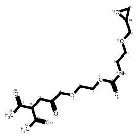 O=C(COCCOC(=O)NCCOCC1CO1)CC(C(=O)C(F)(F)F)C(=O)C(F)(F)F